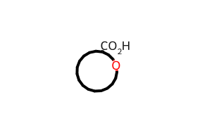 O=C(O)C1CCCCCCCCCCCCCCCOCC1